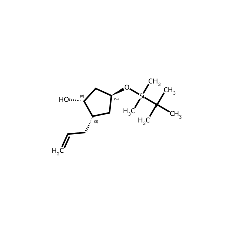 C=CC[C@H]1C[C@H](O[Si](C)(C)C(C)(C)C)C[C@H]1O